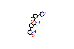 Cc1ccc(N2CCN(C)CC2)cc1C(=O)N[C@H](C)c1cccc(-c2cccc(=O)[nH]2)c1